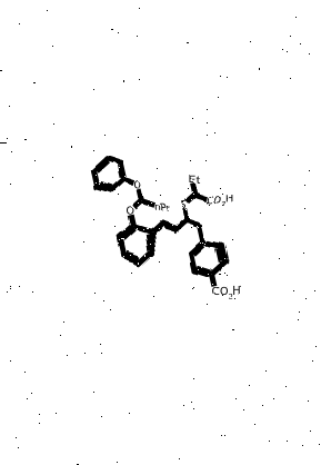 CCCC(Oc1ccccc1)Oc1ccccc1C=CC(Cc1ccc(C(=O)O)cc1)SC(CC)C(=O)O